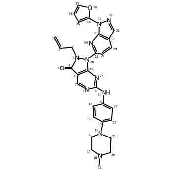 C=CCn1c(=O)c2cnc(Nc3ccc(N4CCN(C)CC4)cc3)nc2n1-c1ccc2cnn(-c3ccco3)c2n1